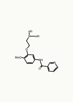 CCCN(CCC)CCOc1cc(NC(=O)c2cccnc2)ccc1OC